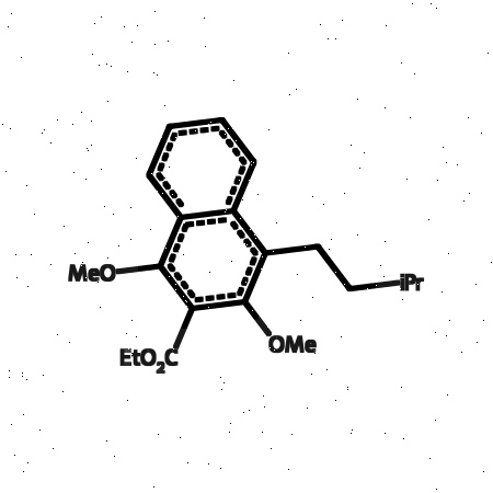 CCOC(=O)c1c(OC)c(CCC(C)C)c2ccccc2c1OC